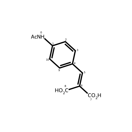 CC(=O)Nc1ccc(C=C(C(=O)O)C(=O)O)cc1